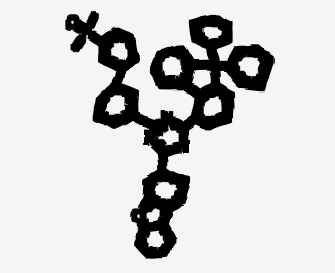 CP(C)(=O)c1cccc(-c2cccc(-c3nc(-c4ccc5c(c4)oc4ccccc45)nc(-c4cccc5c4-c4ccccc4C5(c4ccccc4)c4ccccc4)n3)c2)c1